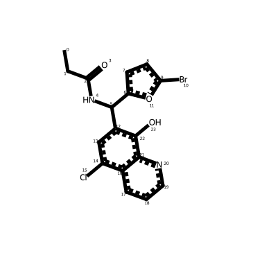 CCC(=O)NC(c1ccc(Br)o1)c1cc(Cl)c2cccnc2c1O